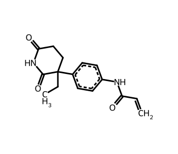 C=CC(=O)Nc1ccc(C2(CC)CCC(=O)NC2=O)cc1